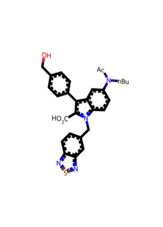 CCCCN(C(C)=O)c1ccc2c(c1)c(-c1ccc(CO)cc1)c(C(=O)O)n2Cc1ccc2nsnc2c1